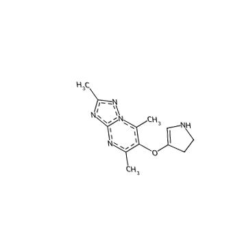 Cc1nc2nc(C)c(OC3=CNCC3)c(C)n2n1